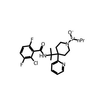 CCC[S+]([O-])N1CCC(c2ccccn2)(C(C)(C)NC(=O)c2c(F)ccc(F)c2Cl)CC1